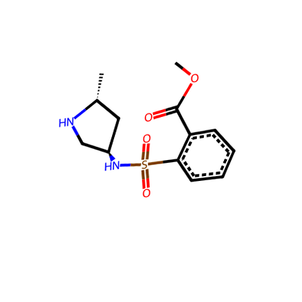 COC(=O)c1ccccc1S(=O)(=O)N[C@H]1CN[C@H](C)C1